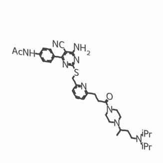 CC(=O)Nc1ccc(-c2nc(SCc3cccc(CCC(=O)N4CCN(C(C)CCN(C(C)C)C(C)C)CC4)n3)nc(N)c2C#N)cc1